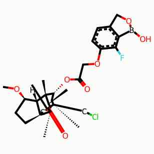 CO[C@@H]1CC[C@@]23CC[C@@H](C)[C@@](C)([C@H](OC(=O)COc4ccc5c(c4F)B(O)OC5)C[C@@](C)(CCl)C(=O)[C@@H]2C)[C@@H]13